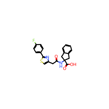 O=C(Cc1csc(-c2ccc(F)cc2)n1)NC1(C(=O)O)Cc2ccccc2C1